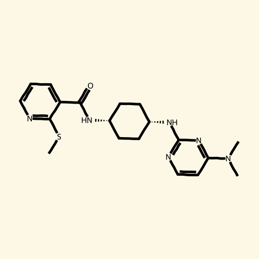 CSc1ncccc1C(=O)N[C@H]1CC[C@@H](Nc2nccc(N(C)C)n2)CC1